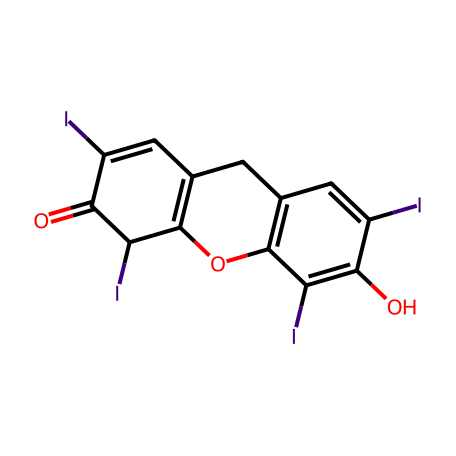 O=C1C(I)=CC2=C(Oc3c(cc(I)c(O)c3I)C2)C1I